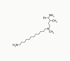 CCC(N)C(C)CCN(C)CCCCCCCCCCCCN